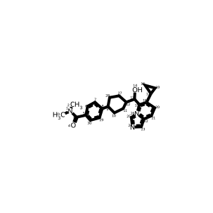 CN(C)C(=O)c1ccc(C2CCC(C(O)c3c(C4CC4)ccc4cncn34)CC2)cc1